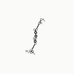 C=C(C)C(=O)OCCCCCCOc1ccc(C(=O)Oc2ccc(-c3ccc(C(=O)OCCCCCCOC(=O)CCC)cc3)cc2)cc1